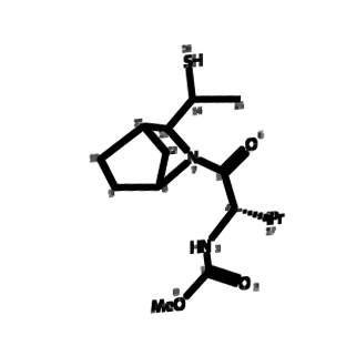 COC(=O)N[C@H](C(=O)N1C2CCC(C2)C1C(C)S)C(C)C